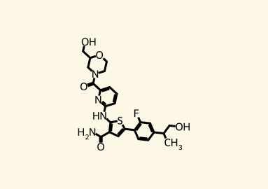 CC(CO)c1ccc(-c2cc(C(N)=O)c(Nc3cccc(C(=O)N4CCOC(CO)C4)n3)s2)c(F)c1